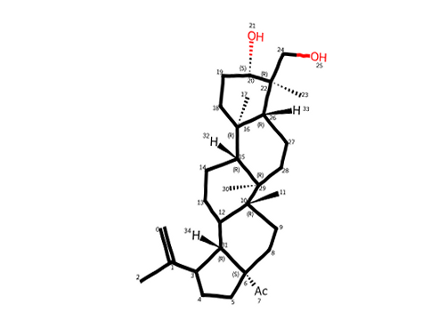 C=C(C)C1CC[C@]2(C(C)=O)CC[C@]3(C)C(CC[C@@H]4[C@@]5(C)CC[C@H](O)[C@@](C)(CO)[C@@H]5CC[C@]43C)[C@@H]12